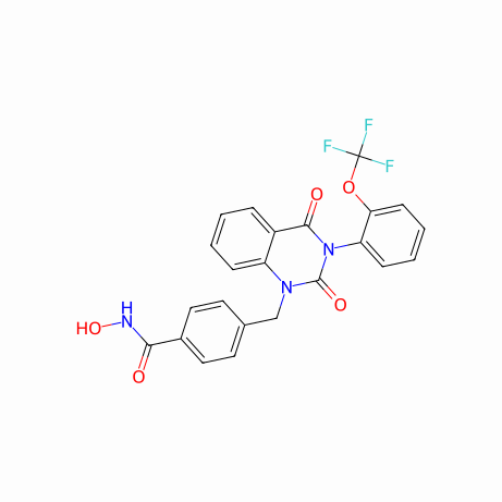 O=C(NO)c1ccc(Cn2c(=O)n(-c3ccccc3OC(F)(F)F)c(=O)c3ccccc32)cc1